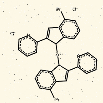 CC(C)c1cccc2c1C=C(c1ccccn1)[CH]2[Zr+2][CH]1C(c2ccccn2)=Cc2c(C(C)C)cccc21.[Cl-].[Cl-]